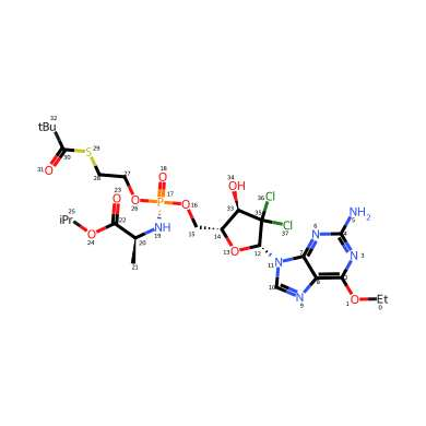 CCOc1nc(N)nc2c1ncn2[C@@H]1O[C@H](CO[P@@](=O)(N[C@@H](C)C(=O)OC(C)C)OCCSC(=O)C(C)(C)C)[C@@H](O)C1(Cl)Cl